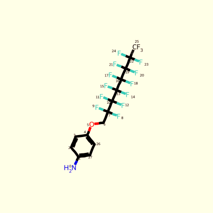 Nc1ccc(OCC(F)(F)C(F)(F)C(F)(F)C(F)(F)C(F)(F)C(F)(F)C(F)(F)F)cc1